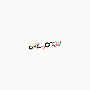 C/C(=N/OCF)C(Cc1ccc(OCCc2nc(-c3cccs3)oc2C)cc1)C(=O)O